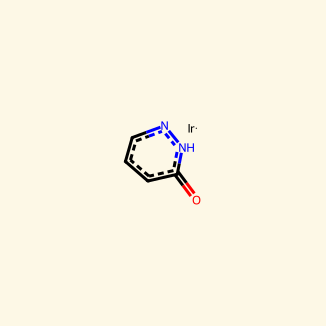 O=c1cccn[nH]1.[Ir]